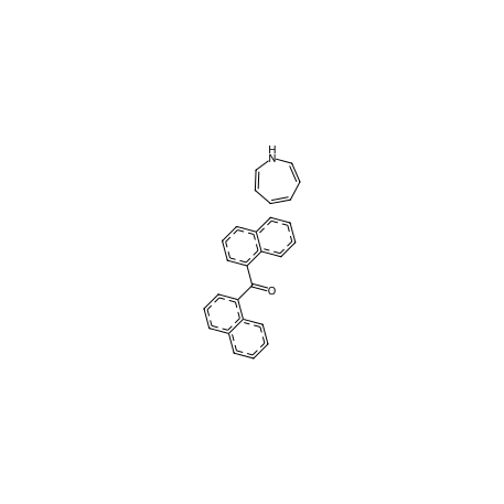 C1=CC=CNC=C1.O=C(c1cccc2ccccc12)c1cccc2ccccc12